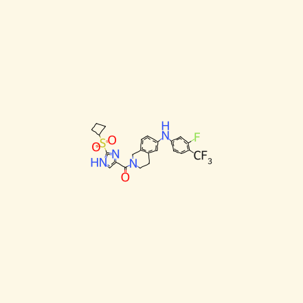 O=C(c1c[nH]c(S(=O)(=O)C2CCC2)n1)N1CCc2cc(Nc3ccc(C(F)(F)F)c(F)c3)ccc2C1